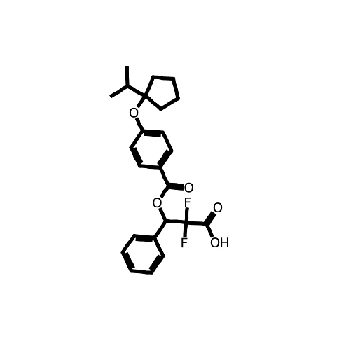 CC(C)C1(Oc2ccc(C(=O)OC(c3ccccc3)C(F)(F)C(=O)O)cc2)CCCC1